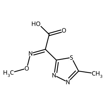 CO/N=C(/C(=O)O)c1nnc(C)s1